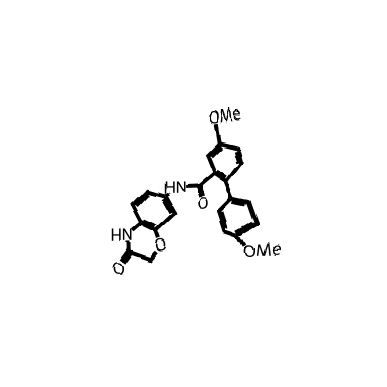 COc1ccc(-c2ccc(OC)cc2C(=O)Nc2ccc3c(c2)OCC(=O)N3)cc1